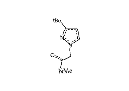 CNC(=O)Cn1ccc(C(C)(C)C)n1